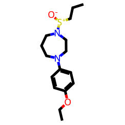 CCC[S+]([O-])N1CCCN(c2ccc(OCC)cc2)CC1